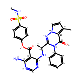 CNS(=O)(=O)c1ccc(OC(=O)c2c(N)ncnc2N[C@@H](C)c2nn3ccc(C)c3c(=O)n2-c2ccccc2)cc1